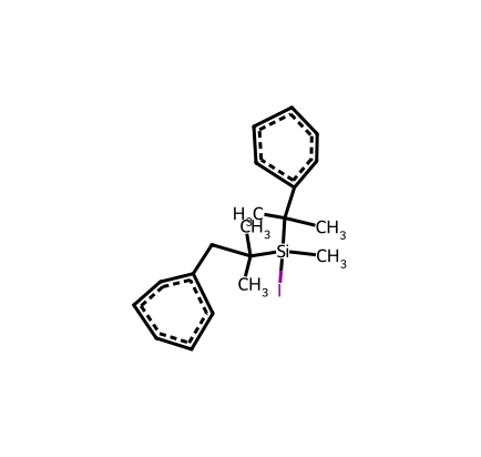 CC(C)(Cc1ccccc1)[Si](C)(I)C(C)(C)c1ccccc1